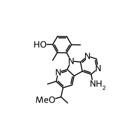 COC(C)c1cc2c3c(N)ncnc3n(-c3c(C)ccc(O)c3C)c2nc1C